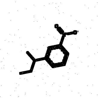 CCC(C)c1[c]c([N+](=O)[O-])ccc1